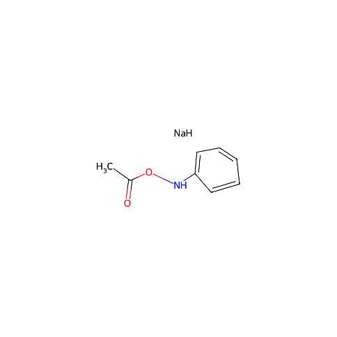 CC(=O)ONc1ccccc1.[NaH]